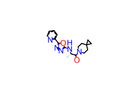 C[C@H](Nc1nnc(-c2ccccn2)o1)C(=O)N1CCC2(CC1)CC2